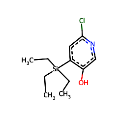 CC[Si](CC)(CC)c1cc(Cl)ncc1O